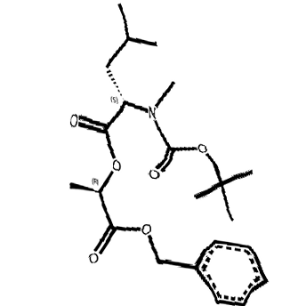 CC(C)C[C@@H](C(=O)O[C@H](C)C(=O)OCc1ccccc1)N(C)C(=O)OC(C)(C)C